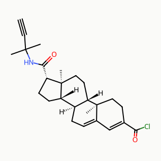 C#CC(C)(C)NC(=O)[C@H]1CC[C@H]2[C@@H]3CC=C4C=C(C(=O)Cl)CC[C@]4(C)[C@H]3CC[C@]12C